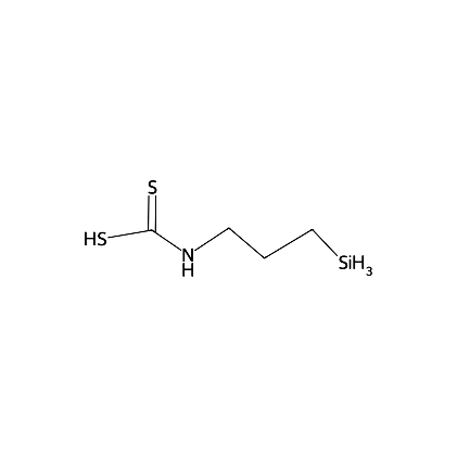 [SiH3]CCCNC(=S)S